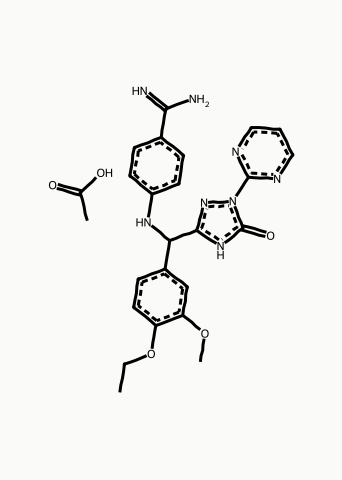 CC(=O)O.CCOc1ccc(C(Nc2ccc(C(=N)N)cc2)c2nn(-c3ncccn3)c(=O)[nH]2)cc1OC